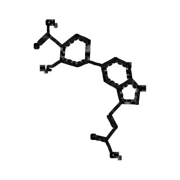 CC(=O)/C=C/c1c[nH]c2ncc(-c3ccc(C(C)=O)c(C)c3)cc12